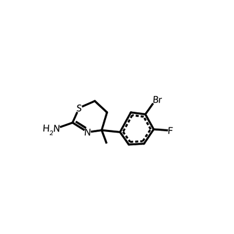 CC1(c2ccc(F)c(Br)c2)CCSC(N)=N1